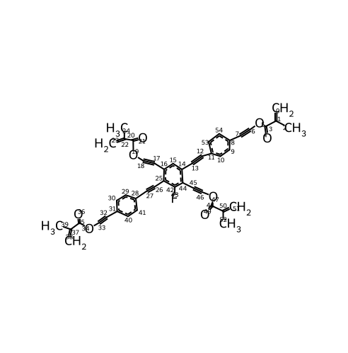 C=C(C)C(=O)OC#Cc1ccc(C#Cc2cc(C#COC(=O)C(=C)C)c(C#Cc3ccc(C#COC(=O)C(=C)C)cc3)c(F)c2C#COC(=O)C(=C)C)cc1